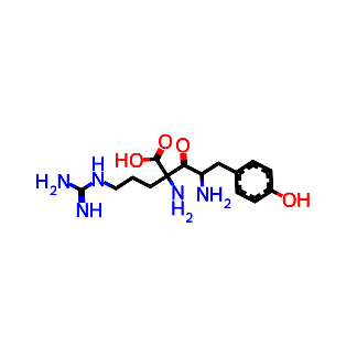 N=C(N)NCCCC(N)(C(=O)O)C(=O)C(N)Cc1ccc(O)cc1